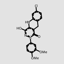 COc1ccc(-n2nc(O)c3c(c2=O)Cc2ccc(Cl)cc2N3)cc1OC